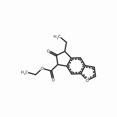 CCOC(=O)C1C(=O)C(CC)c2cc3ccoc3cc21